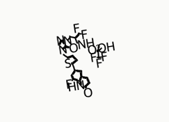 NCC(Cn1ncn(Cc2ccc(-c3cc(F)c4[nH]c(=O)ccc4c3)s2)c1=O)=C(F)F.O=C(O)C(F)(F)F